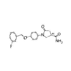 NC(=O)[C@@H]1CC(=O)N(c2ccc(OCc3cccc(F)c3)cc2)C1